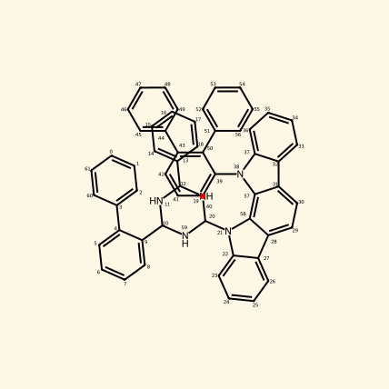 c1ccc(-c2ccccc2C2NC(c3ccccc3)NC(n3c4ccccc4c4ccc5c6ccccc6n(-c6cccc(-c7ccccc7)c6-c6ccccc6)c5c43)N2)cc1